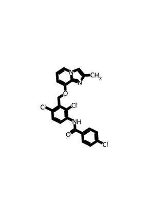 Cc1cn2cccc(OCc3c(Cl)ccc(NC(=O)c4ccc(Cl)cc4)c3Cl)c2n1